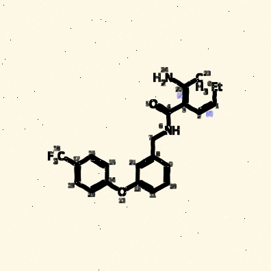 CC/C=C\C(C(=O)NCc1cccc(Oc2ccc(C(F)(F)F)cc2)c1)=C(/C)N